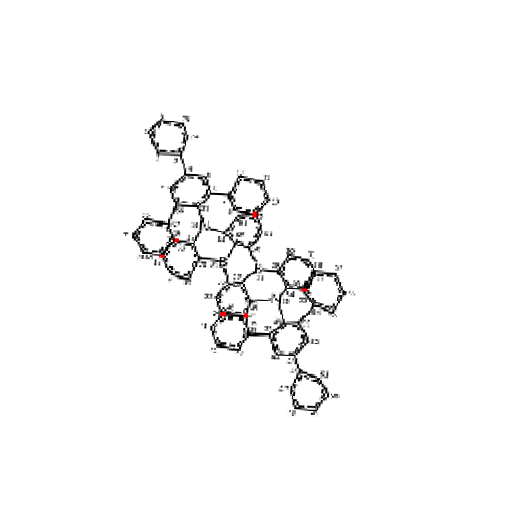 c1ccc(-c2cc(-c3ccccc3)c(N3c4ccccc4B4c5cccc6c5B(c5ccccc5N6c5c(-c6ccccc6)cc(-c6ccccc6)cc5-c5ccccc5)c5cccc3c54)c(-c3ccccc3)c2)cc1